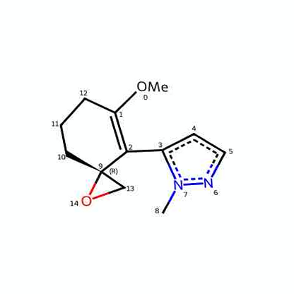 COC1=C(c2ccnn2C)[C@]2(CCC1)CO2